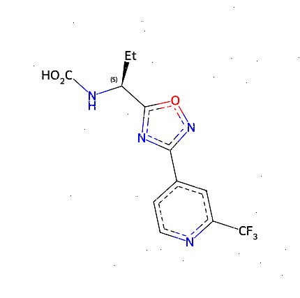 CC[C@H](NC(=O)O)c1nc(-c2ccnc(C(F)(F)F)c2)no1